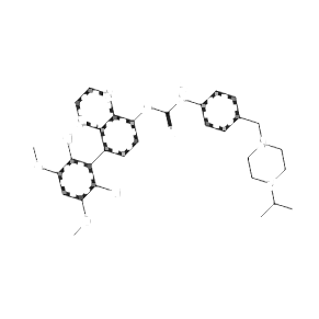 COc1cc(OC)c(Cl)c(-c2ccc(OC(=O)Nc3ccc(CN4CCN(C(C)C)CC4)cc3)c3nccnc23)c1Cl